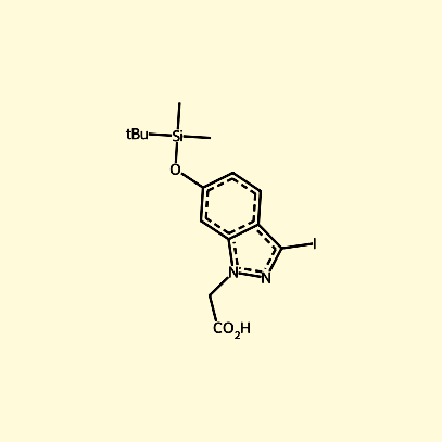 CC(C)(C)[Si](C)(C)Oc1ccc2c(I)nn(CC(=O)O)c2c1